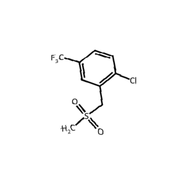 [CH2]S(=O)(=O)Cc1cc(C(F)(F)F)ccc1Cl